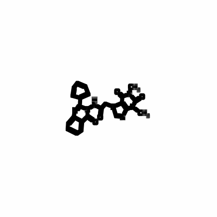 Cn1c(=O)c2c(ncn2CC(=O)Nn2c(-c3ccccc3)nc3ccccc3c2=O)n(C)c1=O